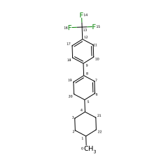 CC1CCC(C2C=CC(c3ccc(C(F)(F)F)cc3)=CC2)CC1